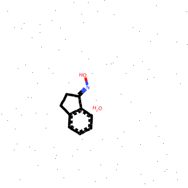 O.ON=C1CCc2ccccc21